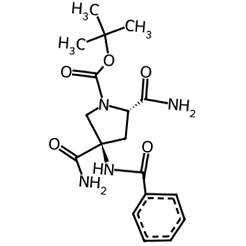 CC(C)(C)OC(=O)N1C[C@@](NC(=O)c2ccccc2)(C(N)=O)C[C@H]1C(N)=O